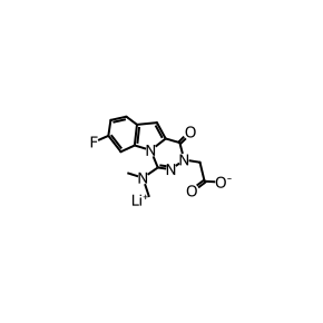 CN(C)c1nn(CC(=O)[O-])c(=O)c2cc3ccc(F)cc3n12.[Li+]